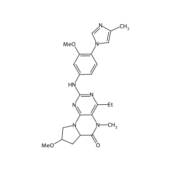 CCc1nc(Nc2ccc(-n3cnc(C)c3)c(OC)c2)nc2c1N(C)C(=O)C1CC(OC)CN21